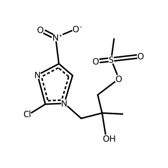 CC(O)(COS(C)(=O)=O)Cn1cc([N+](=O)[O-])nc1Cl